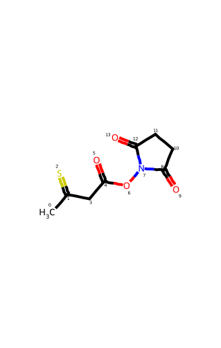 CC(=S)CC(=O)ON1C(=O)CCC1=O